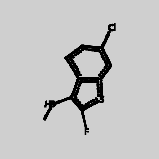 CBc1c(F)sc2cc(Cl)ccc12